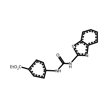 CCOC(=O)c1ccc(NC(=O)Nc2nc3ccccc3s2)cc1